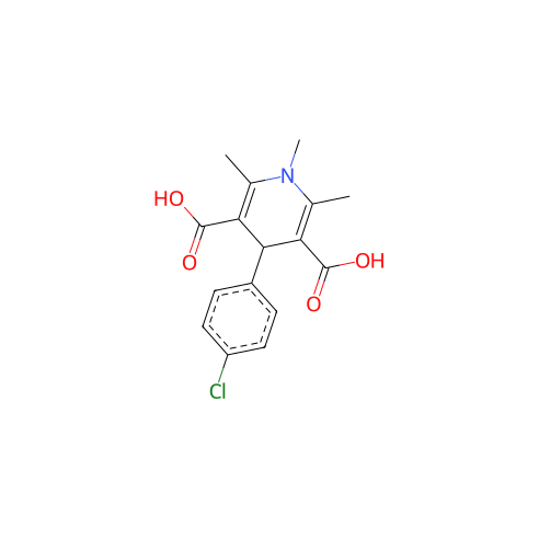 CC1=C(C(=O)O)C(c2ccc(Cl)cc2)C(C(=O)O)=C(C)N1C